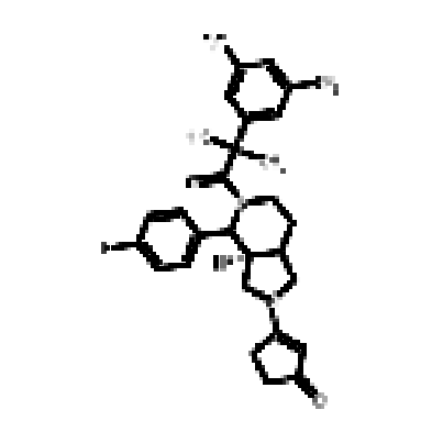 CC(C)(C(=O)N1CCC2CN(C3=CC(=O)CC3)C[C@H]2C1c1ccc(F)cc1)c1cc(C(F)(F)F)cc(C(F)(F)F)c1